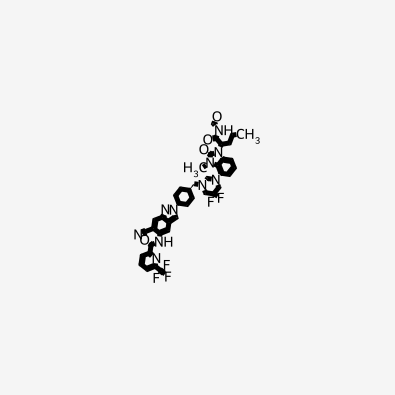 CCCC(C(=O)NC=O)n1c(=O)n(C)c2c(N3CN(C[C@H]4CC[C@H](n5cc6cc(NC(=O)c7cccc(C(F)(F)F)n7)c(C#N)cc6n5)CC4)CC(F)(F)C3)cccc21